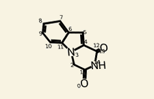 O=C1Cn2c(cc3ccccc32)C(=O)N1